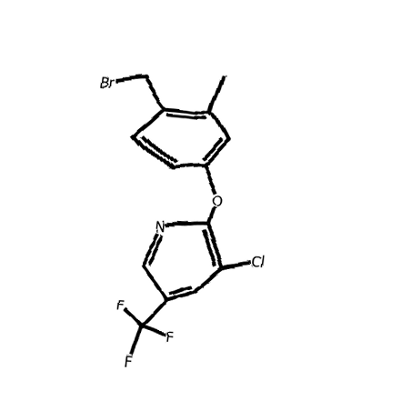 Cc1cc(Oc2ncc(C(F)(F)F)cc2Cl)ccc1CBr